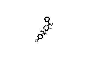 C[C@@H]1CN(S(=O)(=O)c2ccc(Cl)cc2)CCN1C(=O)c1ccccc1